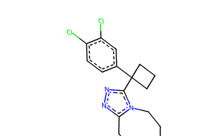 Clc1ccc(C2(c3nnc4n3CCCCCC4)CCC2)cc1Cl